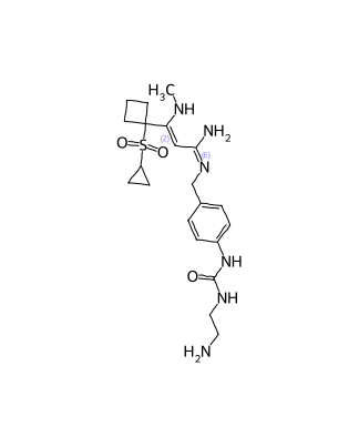 CN/C(=C\C(N)=N/Cc1ccc(NC(=O)NCCN)cc1)C1(S(=O)(=O)C2CC2)CCC1